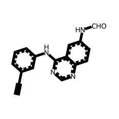 C#Cc1cccc(Nc2ncnc3ccc(NC=O)cc23)c1